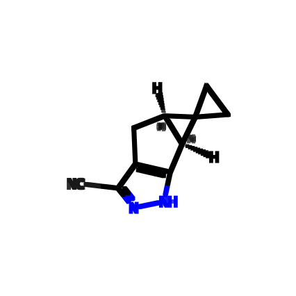 N#Cc1n[nH]c2c1C[C@@H]1[C@H]2C12CC2